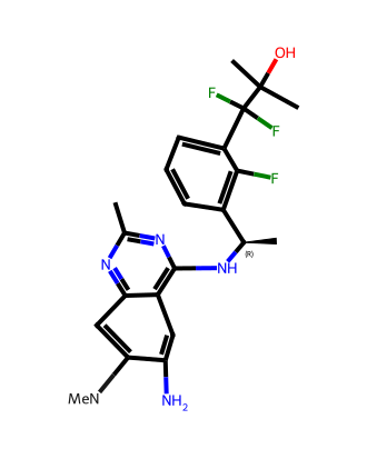 CNc1cc2nc(C)nc(N[C@H](C)c3cccc(C(F)(F)C(C)(C)O)c3F)c2cc1N